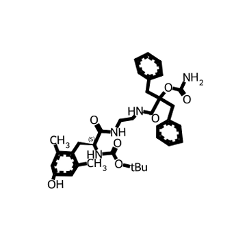 Cc1cc(O)cc(C)c1C[C@H](NC(=O)OC(C)(C)C)C(=O)NCCNC(=O)C(Cc1ccccc1)(Cc1ccccc1)OC(N)=O